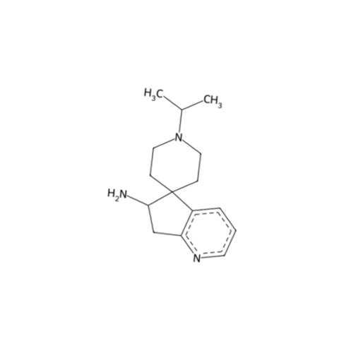 CC(C)N1CCC2(CC1)c1cccnc1CC2N